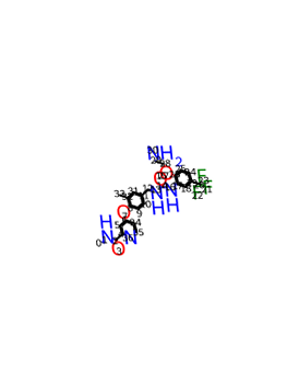 CNC(=O)c1cc(Oc2ccc(CNC(=O)Nc3cc(C(F)(F)F)ccc3OCCN)cc2C)ccn1